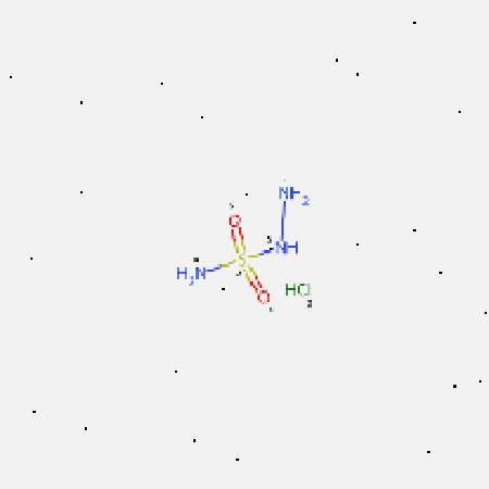 Cl.NNS(N)(=O)=O